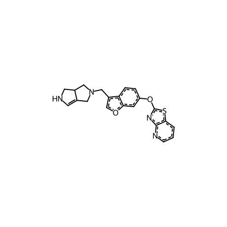 C1=C2CN(Cc3coc4cc(Oc5nc6ncccc6s5)ccc34)CC2CN1